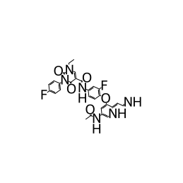 CCn1cc(C(=O)Nc2ccc(OC3=CC(NC(C)=O)=CN/C3=C\C=N)c(F)c2)c(=O)n(-c2ccc(F)cc2)c1=O